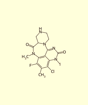 Cc1c(F)c2c3c(nc(=O)n(I)c3c1Cl)N1CCNCC1C(=O)N2C